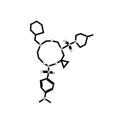 CC1CCN(S(=O)(=O)N2CCCN(CC3CCCCC3)CCCN(S(=O)(=O)c3ccc(N(C)C)cc3)CC3(CC3)C2)CC1